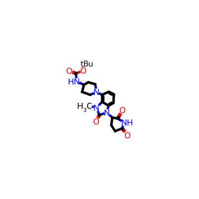 Cn1c(=O)n(C2CCC(=O)NC2=O)c2cccc(N3CCC(NC(=O)OC(C)(C)C)CC3)c21